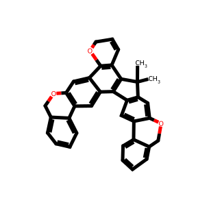 CC1(C)c2cc3c(cc2-c2c1c1c(c4cc5c(cc24)-c2ccccc2CO5)OCC=C1)-c1ccccc1CO3